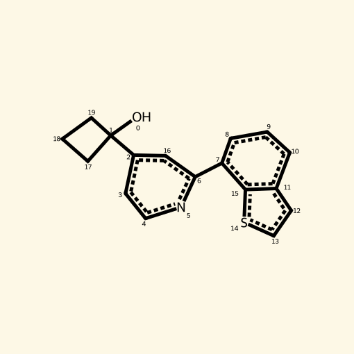 OC1(c2ccnc(-c3cccc4ccsc34)c2)CCC1